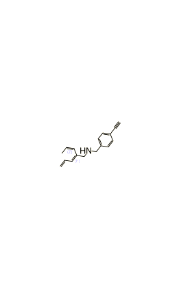 C#Cc1ccc(CNCC(/C=C\C)=C/C=C)cc1